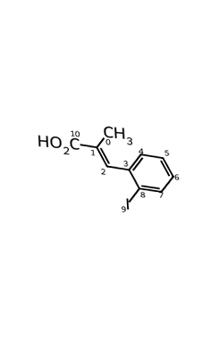 CC(=Cc1ccccc1I)C(=O)O